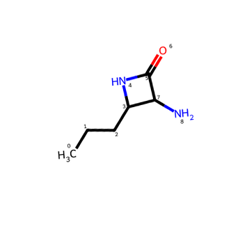 CCCC1NC(=O)C1N